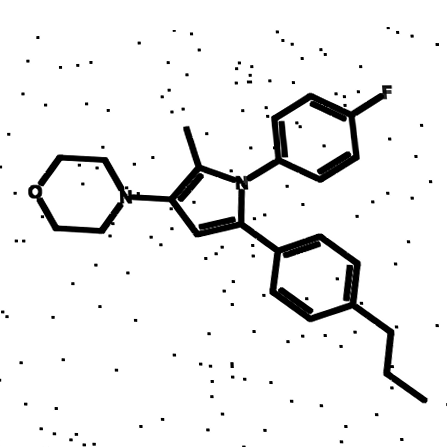 CCCc1ccc(-c2cc(N3CCOCC3)c(C)n2-c2ccc(F)cc2)cc1